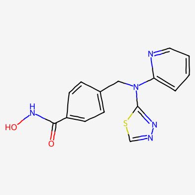 O=C(NO)c1ccc(CN(c2ccccn2)c2nncs2)cc1